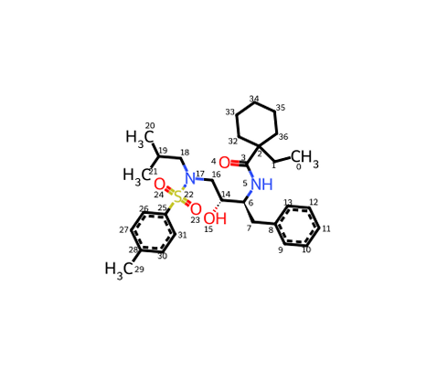 CCC1(C(=O)N[C@@H](Cc2ccccc2)[C@H](O)CN(CC(C)C)S(=O)(=O)c2ccc(C)cc2)CCCCC1